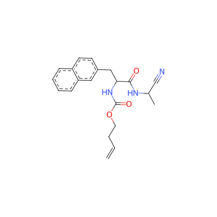 C=CCCOC(=O)NC(Cc1ccc2ccccc2c1)C(=O)NC(C)C#N